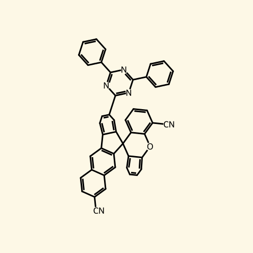 N#Cc1ccc2cc3c(cc2c1)C1(c2ccccc2Oc2c(C#N)cccc21)c1cc(-c2nc(-c4ccccc4)nc(-c4ccccc4)n2)ccc1-3